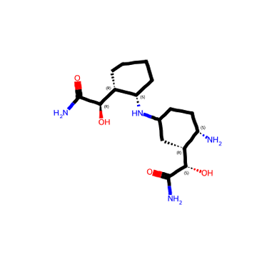 NC(=O)[C@@H](O)[C@@H]1CC(N[C@H]2CCCC[C@H]2[C@@H](O)C(N)=O)CC[C@@H]1N